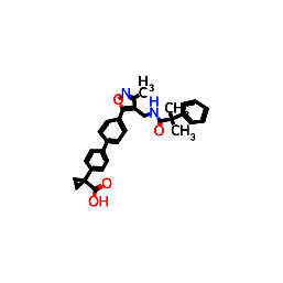 Cc1noc(-c2ccc(-c3ccc(C4(C(=O)O)CC4)cc3)cc2)c1CNC(=O)C(C)(C)c1ccccc1